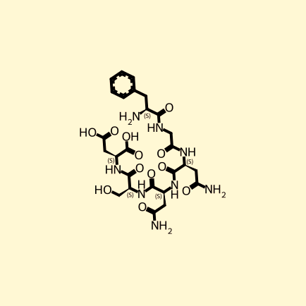 NC(=O)C[C@H](NC(=O)CNC(=O)[C@@H](N)Cc1ccccc1)C(=O)N[C@@H](CC(N)=O)C(=O)N[C@@H](CO)C(=O)N[C@@H](CC(=O)O)C(=O)O